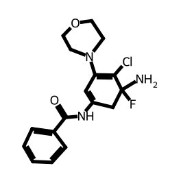 NC1(F)CC(NC(=O)c2ccccc2)=CC(N2CCOCC2)=C1Cl